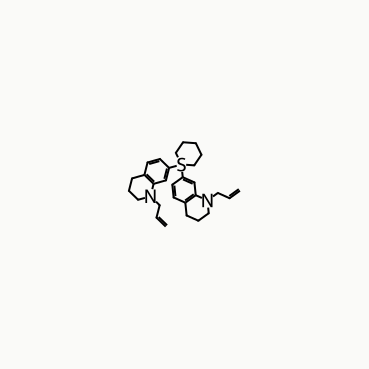 C=CCN1CCCc2ccc(S3(c4ccc5c(c4)N(CC=C)CCC5)CCCCC3)cc21